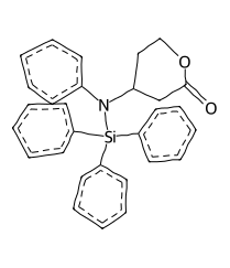 O=C1CC(N(c2ccccc2)[Si](c2ccccc2)(c2ccccc2)c2ccccc2)CCO1